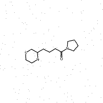 O=C(CCCC1CSCC[N]1)N1CCCC1